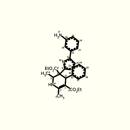 CCOC(=O)C1=C(C)NC(C)C(C(=O)OCC)(c2nc(-c3cccc(N)c3)cs2)C1c1ccccc1